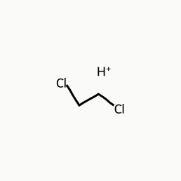 ClCCCl.[H+]